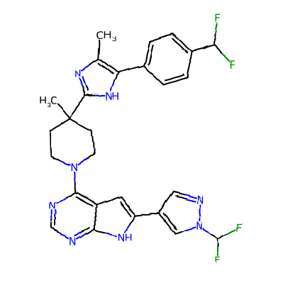 Cc1nc(C2(C)CCN(c3ncnc4[nH]c(-c5cnn(C(F)F)c5)cc34)CC2)[nH]c1-c1ccc(C(F)F)cc1